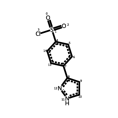 O=S(=O)(Cl)c1ccc(-c2cc[nH]n2)cc1